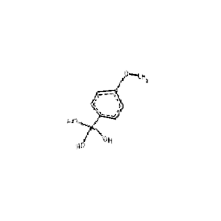 COc1ccc(C(O)(O)O)cc1